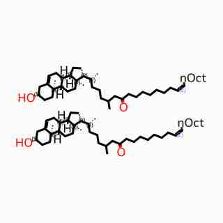 CCCCCCCC/C=C\CCCCCCCC(=O)CC(C)CCC[C@@H](C)[C@H]1CC[C@H]2[C@@H]3CC=C4C[C@@H](O)CC[C@]4(C)[C@H]3CC[C@]12C.CCCCCCCC/C=C\CCCCCCCC(=O)CC(C)CCC[C@@H](C)[C@H]1CC[C@H]2[C@@H]3CC=C4C[C@@H](O)CC[C@]4(C)[C@H]3CC[C@]12C